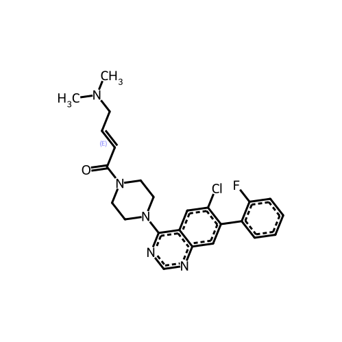 CN(C)C/C=C/C(=O)N1CCN(c2ncnc3cc(-c4ccccc4F)c(Cl)cc23)CC1